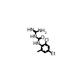 CCc1cc(C)c(NC(=O)NC(=N)N)c(Cl)c1